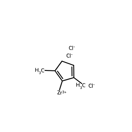 CC1=CCC(C)=[C]1[Zr+3].[Cl-].[Cl-].[Cl-]